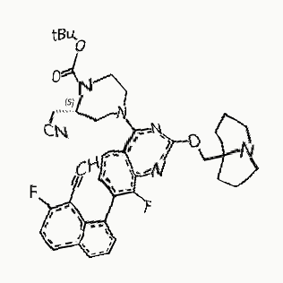 C#Cc1c(F)ccc2cccc(-c3ccc4c(N5CCN(C(=O)OC(C)(C)C)[C@@H](CC#N)C5)nc(OCC56CCCN5CCC6)nc4c3F)c12